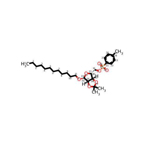 CCCCCCCCCCCCO[C@H]1O[C@H](COS(=O)(=O)c2ccc(C)cc2)[C@@H]2OC(C)(C)O[C@H]12